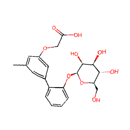 Cc1cc(OCC(=O)O)cc(-c2ccccc2O[C@@H]2O[C@H](CO)[C@@H](O)[C@H](O)[C@@H]2O)c1